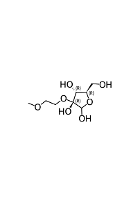 COCCO[C@@]1(O)C(O)O[C@H](CO)[C@H]1O